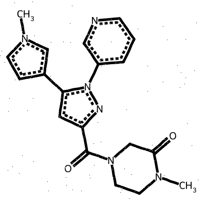 CN1CCN(C(=O)c2cc(-c3ccn(C)c3)n(-c3cccnc3)n2)CC1=O